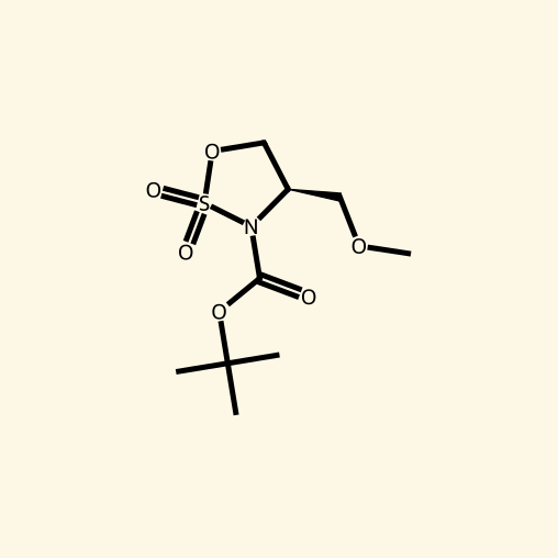 COC[C@@H]1COS(=O)(=O)N1C(=O)OC(C)(C)C